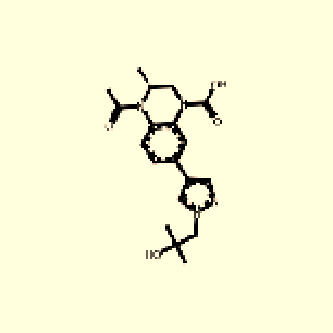 CC(=O)N1c2ccc(-c3cnn(CC(C)(C)O)c3)cc2N(C(=O)O)C[C@@H]1C